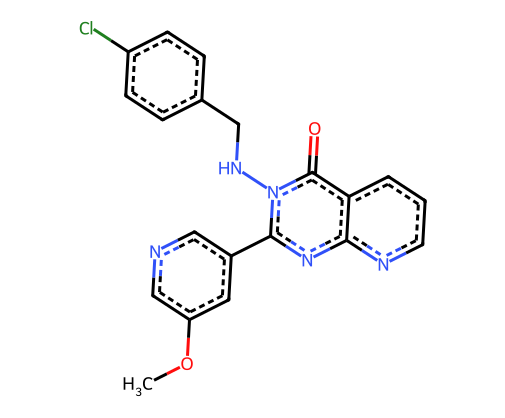 COc1cncc(-c2nc3ncccc3c(=O)n2NCc2ccc(Cl)cc2)c1